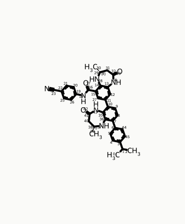 CC(C)c1ccc(-c2ccc(-c3cc4c(c(C(=O)Nc5ccc(C#N)cc5)c3)N[C@H](C)CC(=O)N4)c3c2N[C@H](C)CC(=O)N3)cc1